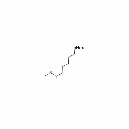 CCCCCCCCCCCC(C)N(C)C